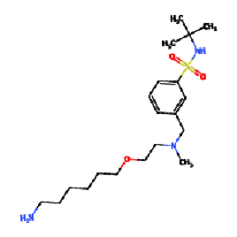 CN(CCOCCCCCCN)Cc1cccc(S(=O)(=O)NC(C)(C)C)c1